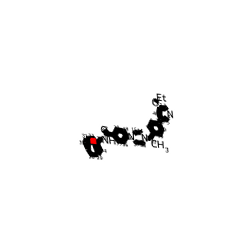 CCOc1cncc(-c2ccc(C(C)N3CCN(c4ccc(C(=O)NCC56CC7CC(CC(C7)C5)C6)cc4)CC3)cc2)c1